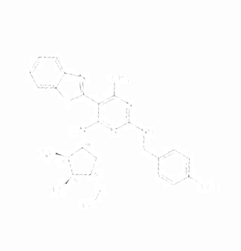 Cc1nc(NCc2ccc(C(F)(F)F)cc2)nc(N[C@@H]2C[C@H](CO)[C@@H](C)[C@H]2C)c1-c1nc2ccccc2s1